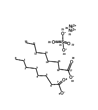 CCCCCCCC(=O)[O-].CCCCCCCC(=O)[O-].O=S(=O)([O-])[O-].[Ni+2].[Ni+2]